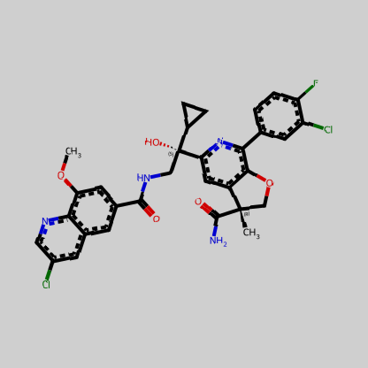 COc1cc(C(=O)NC[C@](O)(c2cc3c(c(-c4ccc(F)c(Cl)c4)n2)OC[C@]3(C)C(N)=O)C2CC2)cc2cc(Cl)cnc12